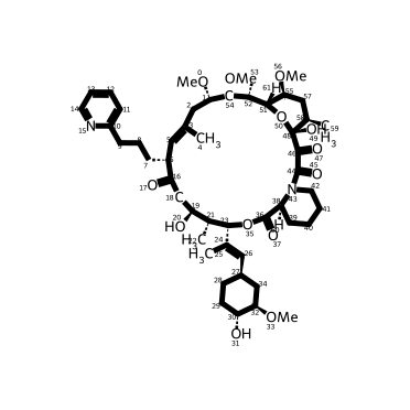 CO[C@H]1C/C(C)=C/[C@@H](CCCc2ccccn2)C(=O)C[C@H](O)[C@@H](C)[C@@H](/C(C)=C/[C@@H]2CC[C@@H](O)[C@H](OC)C2)OC(=O)[C@@H]2CCCCN2C(=O)C(=O)[C@]2(O)O[C@H]([C@@H](OC)C1)[C@@H](OC)C[C@H]2C